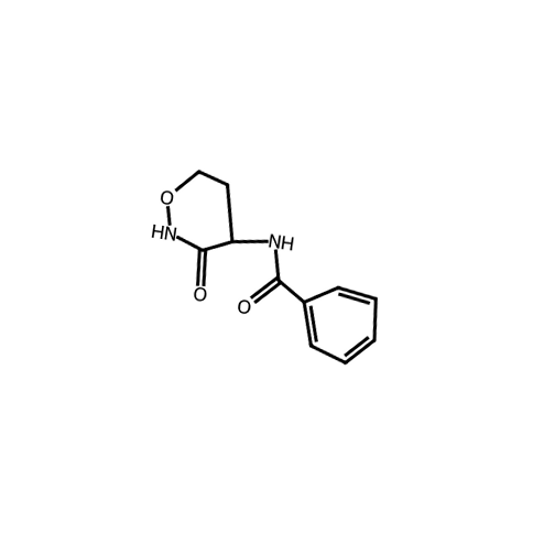 O=C(NC1CCONC1=O)c1ccccc1